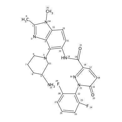 Cc1nc2c(N3CCCC(N)C3)c(NC(=O)c3ccc(=O)n(-c4c(F)cccc4F)n3)ccc2n1C